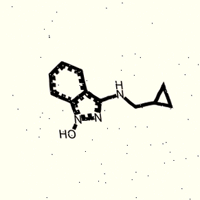 On1nc(NCC2CC2)c2ccccc21